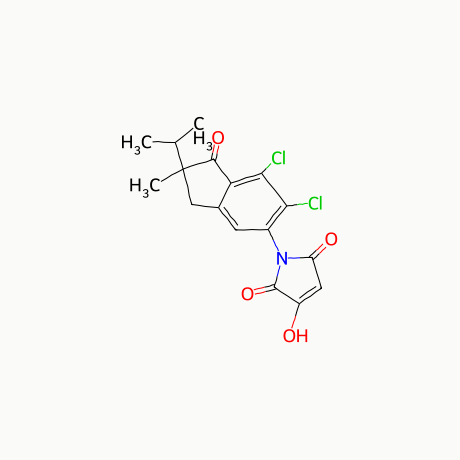 CC(C)C1(C)Cc2cc(N3C(=O)C=C(O)C3=O)c(Cl)c(Cl)c2C1=O